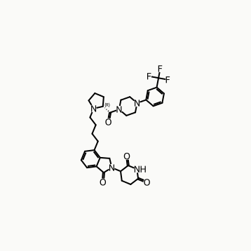 O=C1CCC(N2Cc3c(CCCCN4CCC[C@@H]4C(=O)N4CCN(c5cccc(C(F)(F)F)c5)CC4)cccc3C2=O)C(=O)N1